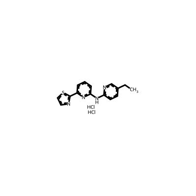 CCc1ccc(Nc2cccc(-c3nccs3)n2)nc1.Cl.Cl